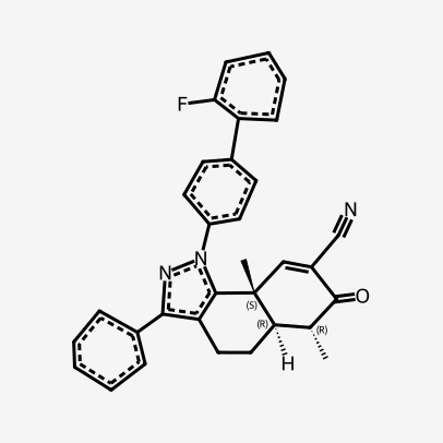 C[C@H]1C(=O)C(C#N)=C[C@@]2(C)c3c(c(-c4ccccc4)nn3-c3ccc(-c4ccccc4F)cc3)CC[C@H]12